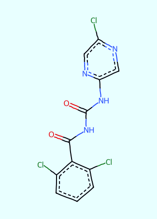 O=C(NC(=O)c1c(Cl)cccc1Cl)Nc1cnc(Cl)cn1